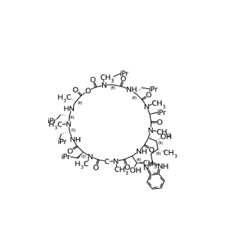 CC(C)C[C@@H]1C(=O)N[C@H](CC(C)C)C(=O)N(C)C(C(C)C)C(=O)N(C)C([C@H](O)[C@H](C)Cc2nc3ccccc3[nH]2)C(=O)NC([C@@H](C)O)C(=O)N(C)CC(=O)N(C)[C@@H](CC(C)C)C(=O)N[C@H](CC(C)C)N(C)[C@H](CC(C)C)N[C@H](C)C(=O)OC(=O)N1C